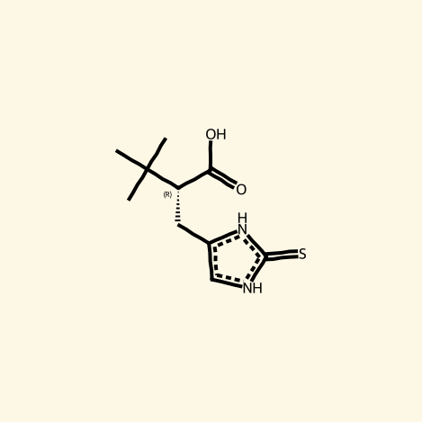 CC(C)(C)[C@@H](Cc1c[nH]c(=S)[nH]1)C(=O)O